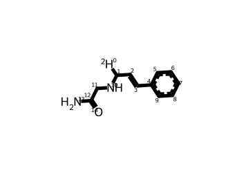 [2H]C(C=Cc1ccccc1)NCC(N)=O